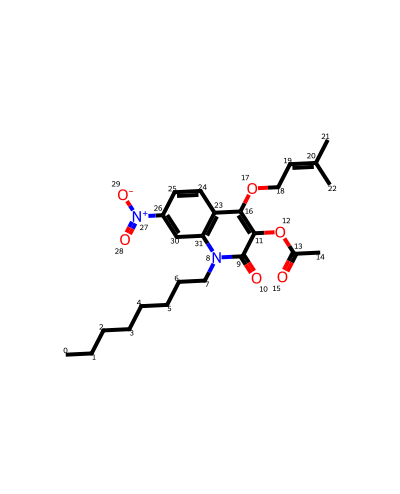 CCCCCCCCn1c(=O)c(OC(C)=O)c(OCC=C(C)C)c2ccc([N+](=O)[O-])cc21